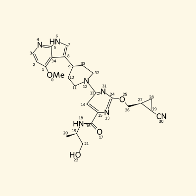 COc1ccnc2[nH]cc(C3CCN(c4cc(C(=O)N[C@H](C)CO)nc(OC[C@H]5CC5C#N)n4)CC3)c12